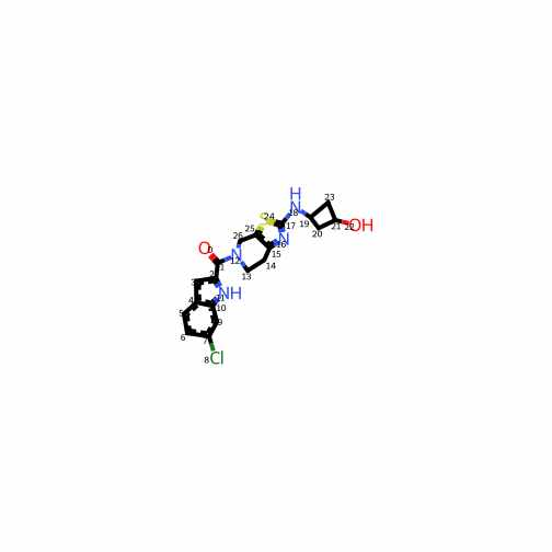 O=C(c1cc2ccc(Cl)cc2[nH]1)N1CCc2nc(NC3CC(O)C3)sc2C1